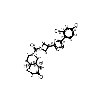 O=C1CO[C@H]2CCN(C(=O)N3CC(c4nc(-c5ccc(Cl)cc5Cl)no4)C3)C[C@H]2N1